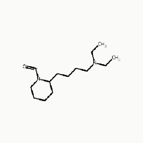 CCN(CC)CCCCC1CCCCN1[C]=O